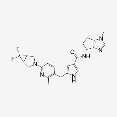 Cc1nc(N2CC3C(C2)C3(F)F)ccc1Cc1cc(C(=O)N[C@@H]2CCc3c2ncn3C)c[nH]1